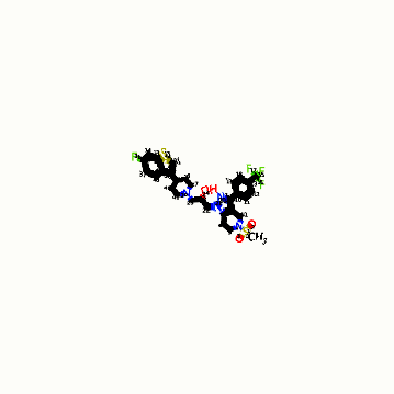 CS(=O)(=O)N1CCc2c(c(-c3ccc(C(F)(F)F)cc3)nn2CC(O)CN2CCC(c3csc4cc(F)ccc34)CC2)C1